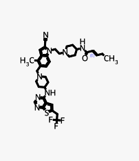 CC/C=C/C(=O)NC1CCN(CCn2c(C#N)cc3c(C)c(CN4CCC(Nc5ncnc6sc(CC(F)(F)F)cc56)CC4)ccc32)CC1